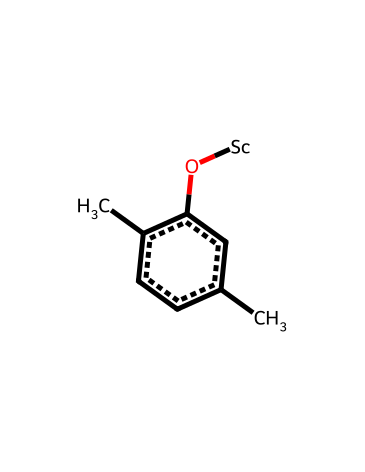 Cc1ccc(C)c([O][Sc])c1